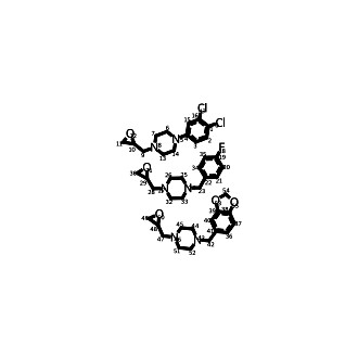 Clc1ccc(N2CCN(CC3CO3)CC2)cc1Cl.Fc1ccc(CN2CCN(CC3CO3)CC2)cc1.c1cc2c(cc1CN1CCN(CC3CO3)CC1)OCO2